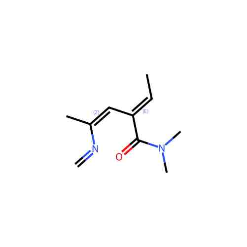 C=N/C(C)=C\C(=C/C)C(=O)N(C)C